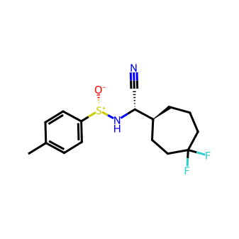 Cc1ccc([S@+]([O-])N[C@H](C#N)[C@H]2CCCC(F)(F)CC2)cc1